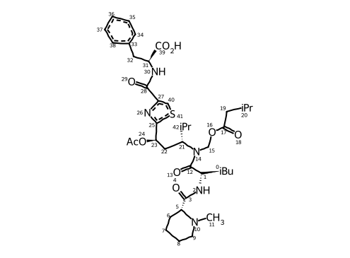 CC[C@H](C)[C@H](NC(=O)[C@H]1CCCCN1C)C(=O)N(COC(=O)CC(C)C)[C@H](C[C@@H](OC(C)=O)c1nc(C(=O)N[C@@H](Cc2ccccc2)C(=O)O)cs1)C(C)C